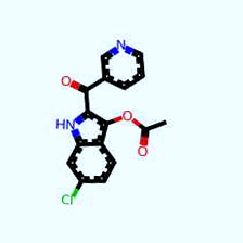 CC(=O)Oc1c(C(=O)c2cccnc2)[nH]c2cc(Cl)ccc12